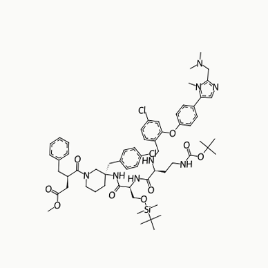 COC(=O)C[C@@H](Cc1ccccc1)C(=O)N1CCC[C@](Cc2ccc(Cl)cc2)(NC(=O)[C@H](CO[Si](C)(C)C(C)(C)C)NC(=O)[C@H](CCNC(=O)OC(C)(C)C)NCc2ccc(Cl)cc2Oc2ccc(-c3cnc(CN(C)C)n3C)cc2)C1